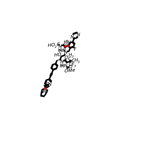 COC(=O)N[C@H](C(=O)N[C@@H](Cc1ccc(C#Cc2ccc(N3CC4CCC(C3)N4C3COC3)nc2)cc1)[C@@H](O)CN(Cc1c(F)cc(-c2cnccn2)cc1F)NC(=O)[C@@H](NC(=O)O)C(C)(C)C)C(C)(C)C(F)(F)F